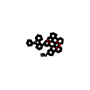 CC(C)(C)c1ccc(-c2ccccc2)c(N(c2cccc(-c3cccc4c3c3ccccc3n4-c3ccccc3)c2)c2ccccc2-c2cccc3cccc(C4CCCCC4)c23)c1